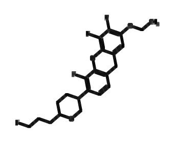 CCOc1cc2c(c(F)c1F)Oc1c(ccc(C3CCC(CCCF)OC3)c1F)C2